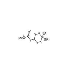 CCC1(C(C)(C)C)CCC(CC(=O)OC)CC1